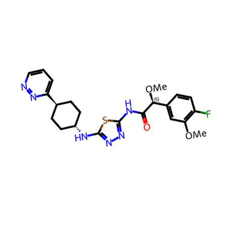 COc1cc([C@H](OC)C(=O)Nc2nnc(N[C@H]3CC[C@H](c4cccnn4)CC3)s2)ccc1F